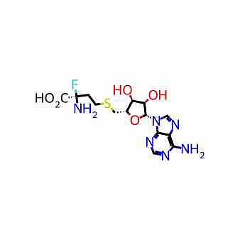 Nc1ncnc2c1ncn2[C@@H]1O[C@H](CSCC[C@@](N)(F)C(=O)O)[C@@H](O)[C@H]1O